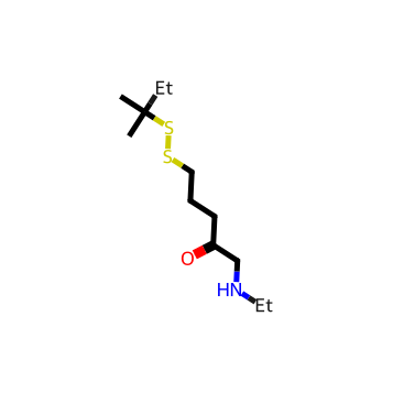 CCNCC(=O)CCCSSC(C)(C)CC